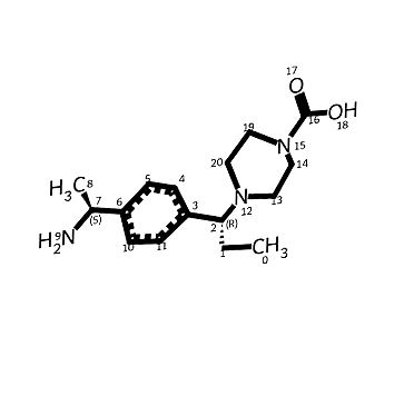 CC[C@H](c1ccc([C@H](C)N)cc1)N1CCN(C(=O)O)CC1